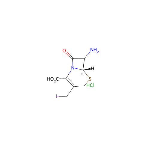 Cl.NC1C(=O)N2C(C(=O)O)=C(CI)CS[C@@H]12